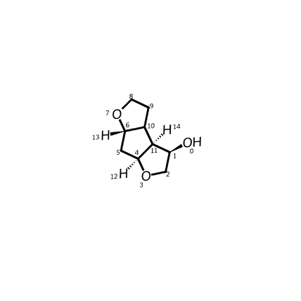 O[C@H]1CO[C@H]2C[C@@H]3OCCC3[C@H]21